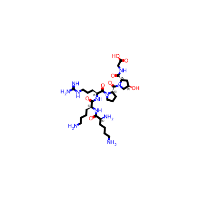 N=C(N)NCCC[C@H](NC(=O)[C@H](CCCCN)NC(=O)[C@@H](N)CCCCN)C(=O)N1CCC[C@H]1C(=O)N1C[C@H](O)C[C@H]1C(=O)NCC(=O)O